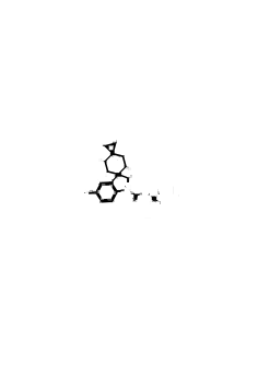 CC(C)(C)OC(=O)N1CC2(CCC3(CC3)CC2)c2cc(Br)ccc21